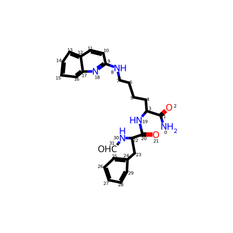 NC(=O)C(CCCCNc1ccc2ccccc2n1)NC(=O)C(Cc1ccccc1)NC=O